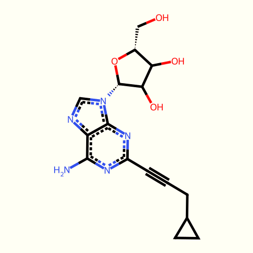 Nc1nc(C#CCC2CC2)nc2c1ncn2[C@@H]1O[C@H](CO)C(O)C1O